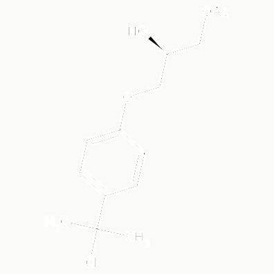 CC(=O)OC[C@H](O)COc1ccc(C(C)(C)Cl)cc1